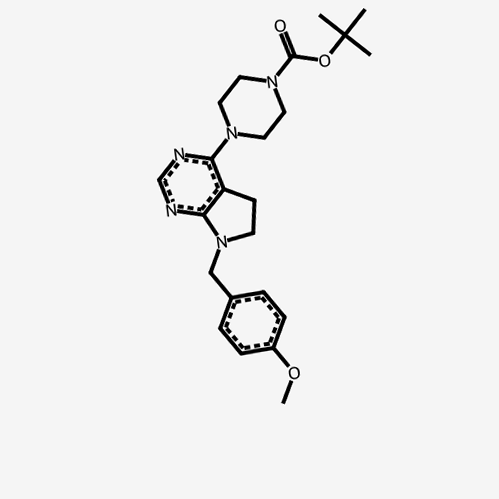 COc1ccc(CN2CCc3c(N4CCN(C(=O)OC(C)(C)C)CC4)ncnc32)cc1